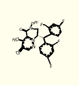 CCCN1C[C@H](C(c2ccc(F)cc2F)c2ccc(F)cc2F)n2ncc(=O)c(O)c2C1=O